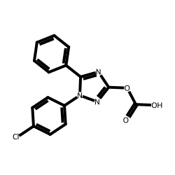 O=C(O)Oc1nc(-c2ccccc2)n(-c2ccc(Cl)cc2)n1